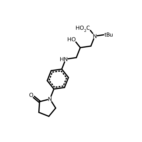 CC(C)(C)N(CC(O)CNc1ccc(N2CCCC2=O)cc1)C(=O)O